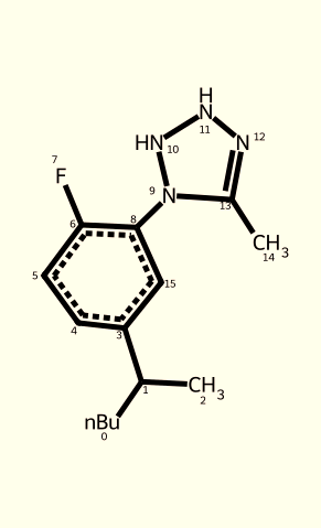 CCCCC(C)c1ccc(F)c(N2NNN=C2C)c1